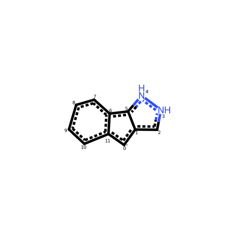 [c]1c2c[nH][nH]c-2c2ccccc12